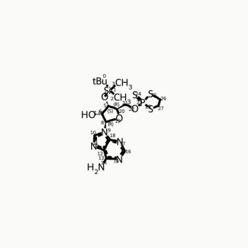 CC(C)(C)[Si](C)(C)O[C@H]1[C@@H](O)[C@H](n2cnc3c(N)ncnc32)O[C@@H]1COP1(=S)SCCS1